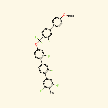 CCCCOc1ccc(-c2ccc(C(F)(F)Oc3ccc(-c4ccc(-c5cc(F)c(C#N)c(F)c5)c(F)c4)c(F)c3)c(F)c2)cc1